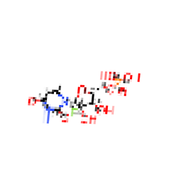 O=c1ccn([C@@H]2O[C@H](COP(=O)(O)O)[C@@H](O)[C@]2(O)F)c(=O)[nH]1